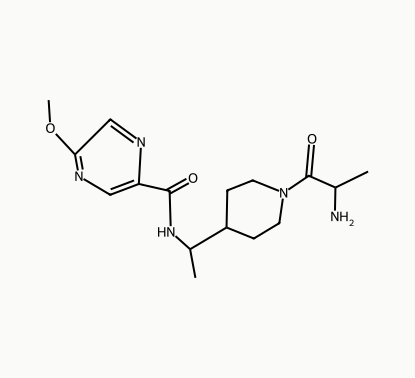 COc1cnc(C(=O)NC(C)C2CCN(C(=O)C(C)N)CC2)cn1